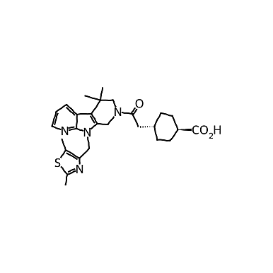 Cc1nc(Cn2c3c(c4cccnc42)C(C)(C)CN(C(=O)C[C@H]2CC[C@H](C(=O)O)CC2)C3)c(C)s1